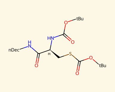 CCCCCCCCCCNC(=O)[C@H](CSC(=O)OC(C)(C)C)NC(=O)OC(C)(C)C